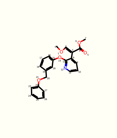 CO/C=C(/C(=O)OC)c1cccnc1Oc1cccc(COc2ccccc2)c1